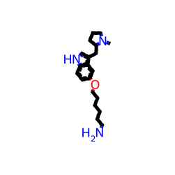 CN1CCCC1Cc1c[nH]c2ccc(OCCCCCCN)cc12